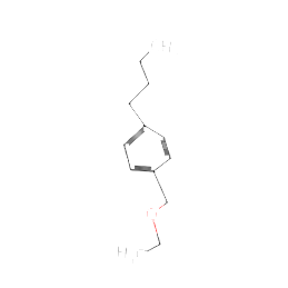 CCCCc1ccc(COCC)cc1